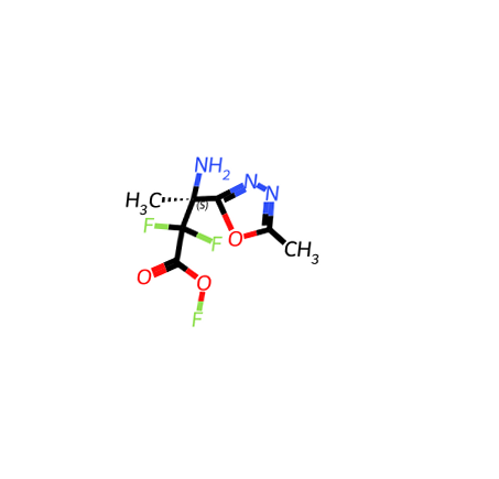 Cc1nnc([C@](C)(N)C(F)(F)C(=O)OF)o1